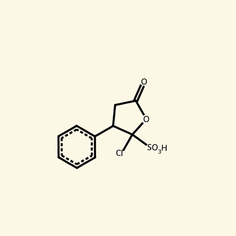 O=C1CC(c2ccccc2)C(Cl)(S(=O)(=O)O)O1